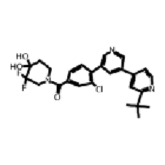 CC(C)(C)c1cc(-c2cncc(-c3ccc(C(=O)N4CCC(O)(O)C(F)(F)C4)cc3Cl)c2)ccn1